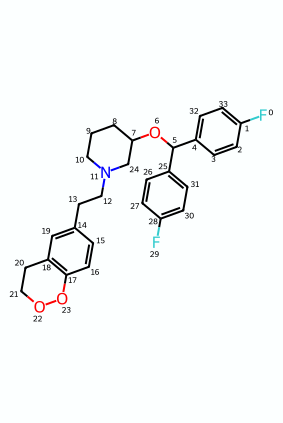 Fc1ccc(C(OC2CCCN(CCc3ccc4c(c3)CCOO4)C2)c2ccc(F)cc2)cc1